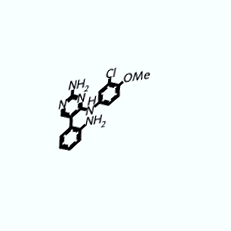 COc1ccc(Nc2nc(N)ncc2-c2ccccc2N)cc1Cl